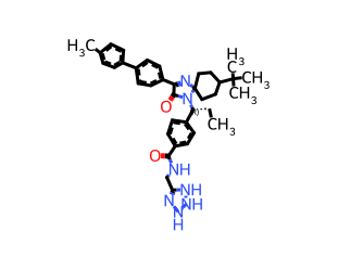 CC[C@H](c1ccc(C(=O)NCC2=NNNN2)cc1)N1C(=O)C(c2ccc(-c3ccc(C)cc3)cc2)=NC12CCC(C(C)(C)C)CC2